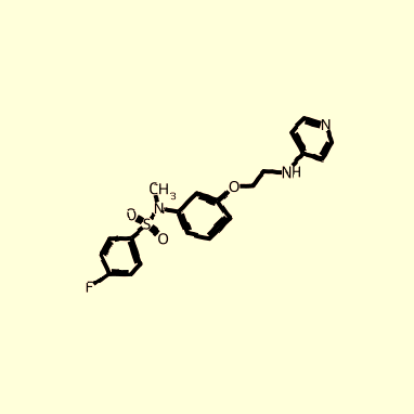 CN(c1cccc(OCCNc2ccncc2)c1)S(=O)(=O)c1ccc(F)cc1